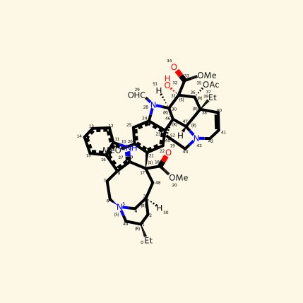 CC[C@@H]1C[C@H]2C[N@](CCc3c([nH]c4ccccc34)[C@@](C(=O)OC)(c3cc4c(cc3OC)N(C=O)[C@H]3[C@@](O)(C(=O)OC)[C@H](OC(C)=O)[C@]5(CC)C=CCN6CC[C@]43[C@@H]65)C2)C1